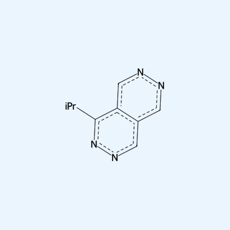 CC(C)c1nncc2cnncc12